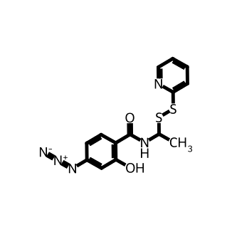 CC(NC(=O)c1ccc(N=[N+]=[N-])cc1O)SSc1ccccn1